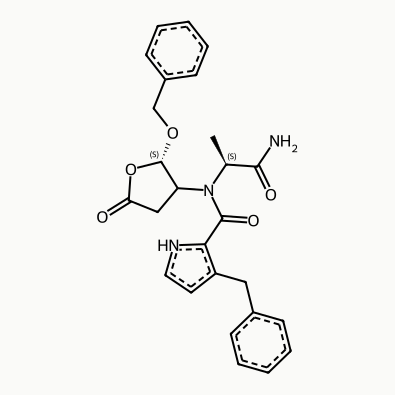 C[C@@H](C(N)=O)N(C(=O)c1[nH]ccc1Cc1ccccc1)C1CC(=O)O[C@@H]1OCc1ccccc1